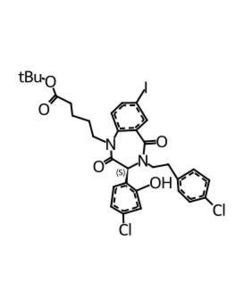 CC(C)(C)OC(=O)CCCCN1C(=O)[C@H](c2ccc(Cl)cc2O)N(CCc2ccc(Cl)cc2)C(=O)c2cc(I)ccc21